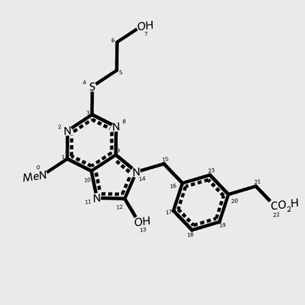 CNc1nc(SCCO)nc2c1nc(O)n2Cc1cccc(CC(=O)O)c1